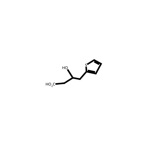 O=C(O)CC(O)Cc1cccs1